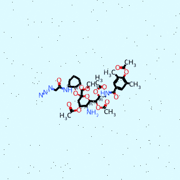 COC(=O)[C@@]1(O[C@H]2CCCC[C@H]2NC(=O)CN=[N+]=[N-])C[C@H](OC(C)=O)[C@@H](N)[C@H]([C@H](OC(C)=O)[C@@H](CNC(=O)c2cc(C)c(OC(C)=O)c(C)c2)OC(C)=O)O1